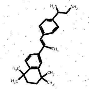 C/C(=C\c1ccc(C(N)CN)cc1)c1ccc2c(c1)C(C)(C)CCC2(C)C